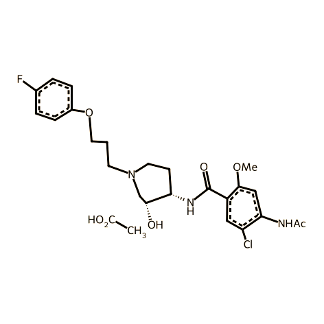 CC(=O)O.COc1cc(NC(C)=O)c(Cl)cc1C(=O)N[C@H]1CCN(CCCOc2ccc(F)cc2)C[C@H]1O